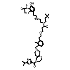 CC(C)c1nc(C(=O)N2CCOC3(CCN(Cc4cccc(CCOCCC(=O)N(CCNCCc5ccc(O)c6c5OCC(=O)N6)CCC(C)(C)C)c4F)CC3)C2)cs1